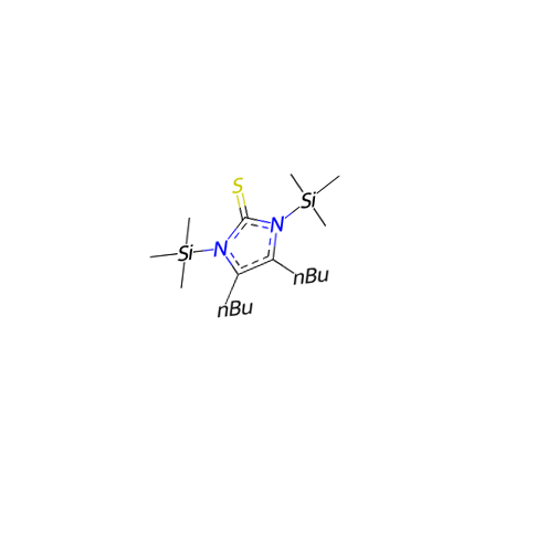 CCCCc1c(CCCC)n([Si](C)(C)C)c(=S)n1[Si](C)(C)C